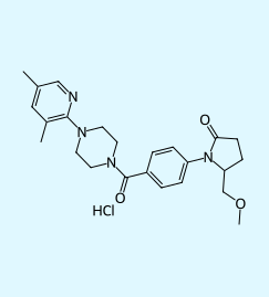 COCC1CCC(=O)N1c1ccc(C(=O)N2CCN(c3ncc(C)cc3C)CC2)cc1.Cl